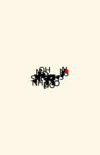 Nc1nc(/C(=N/O)C(=O)N[C@@H]2C(=O)N3C(C(=O)O)=C(SCSc4nncs4)CC[C@@H]23)cs1